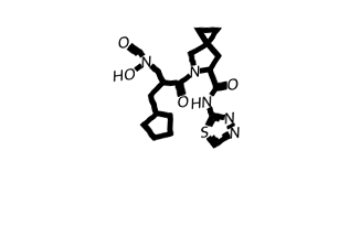 O=CN(O)CC(CC1CCCC1)C(=O)N1CC2(CC2)CC1C(=O)Nc1nncs1